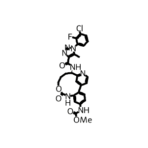 COC(=O)Nc1ccc2c(c1)NC(=O)OCCC[C@H](NC(=O)c1nnn(-c3cccc(Cl)c3F)c1C)c1cc-2ccn1